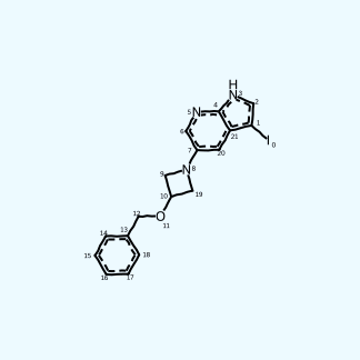 Ic1c[nH]c2ncc(N3CC(OCc4ccccc4)C3)cc12